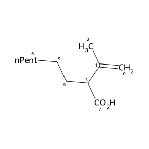 C=C(C)C(CCCCCCC)C(=O)O